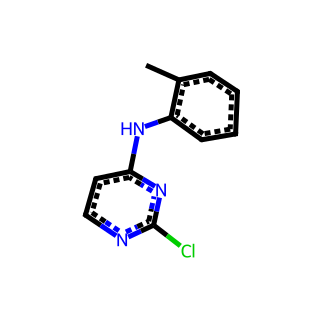 Cc1ccccc1Nc1ccnc(Cl)n1